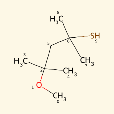 COC(C)(C)CC(C)(C)S